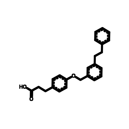 O=C(O)CCc1ccc(OCc2cccc(CCc3ccccc3)c2)cc1